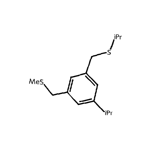 CSCc1cc(CSC(C)C)cc(C(C)C)c1